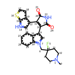 CN1CCC(F)(Cn2cc(C3=C(c4c[nH]c5sccc45)C(=O)NC3=O)c3ccccc32)CC1